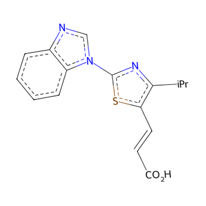 CC(C)c1nc(-n2cnc3ccccc32)sc1C=CC(=O)O